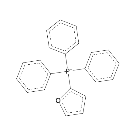 c1ccc([P+](c2ccccc2)(c2ccccc2)c2ccco2)cc1